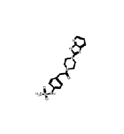 CS(=O)(=O)Nc1ccc(CC(=O)N2CCN(c3nc4cccnc4o3)CC2)cc1